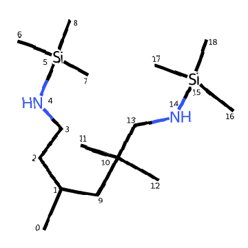 CC(CCN[Si](C)(C)C)CC(C)(C)CN[Si](C)(C)C